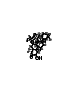 CC(C)OP(C)(=O)F.C[C@H]1C(=O)[C@H](O)C[C@@H]2[C@]1(C)CC[C@H]1[C@@]2(C)CC[C@@]2(C)[C@@H]3CC(C)(C)CC[C@]3(C)CC[C@]12C